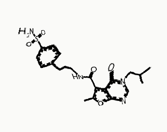 Cc1oc2ncn(CC(C)C)c(=O)c2c1C(=O)NCCc1ccc(S(N)(=O)=O)cc1